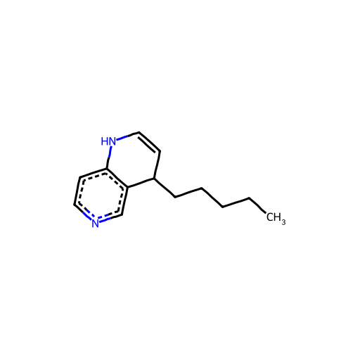 CCCCCC1C=CNc2ccncc21